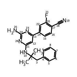 CC(C)(Cc1ccccc1)Nc1cc(-c2ccc(C#N)c(F)c2)nc(N)n1